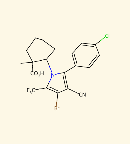 CC1(C(=O)O)CCCCC1n1c(-c2ccc(Cl)cc2)c(C#N)c(Br)c1C(F)(F)F